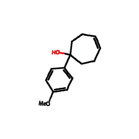 COc1ccc(C2(O)CCC=CCC2)cc1